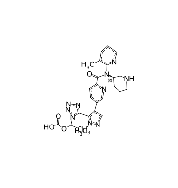 Cc1cccnc1N(C(=O)c1ccc(-c2cnn(C)c2-c2nnnn2C(C)OC(=O)O)cn1)[C@@H]1CCCNC1